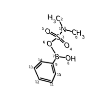 CN(C)S(=O)(=O)OB(O)c1ccccc1